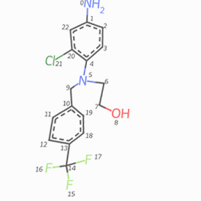 Nc1ccc(N(CCO)Cc2ccc(C(F)(F)F)cc2)c(Cl)c1